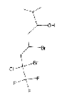 CC(C)C(O)CC(Br)CC(Cl)(Br)C(F)(F)F